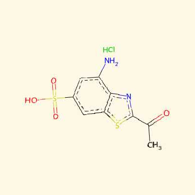 CC(=O)c1nc2c(N)cc(S(=O)(=O)O)cc2s1.Cl